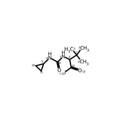 CC(C)(C)C(NC(=O)NC1CC1)C(=O)I